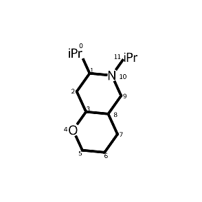 CC(C)C1CC2OCCCC2CN1C(C)C